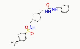 Cc1ccc(S(=O)(=O)NCC2CCC(CNC(=O)NCc3ccccc3)CC2)cc1